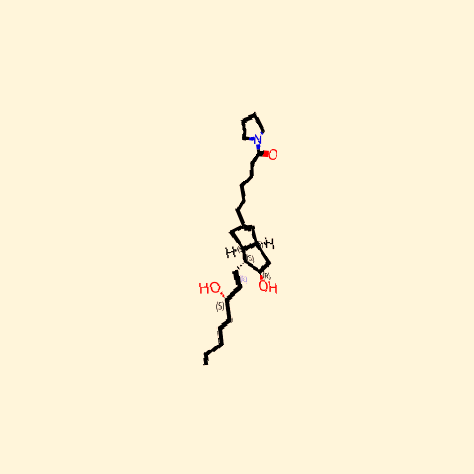 CCCCC[C@H](O)/C=C/[C@@H]1[C@H]2CC(CCCCCC(=O)N3CCCC3)=C[C@H]2C[C@H]1O